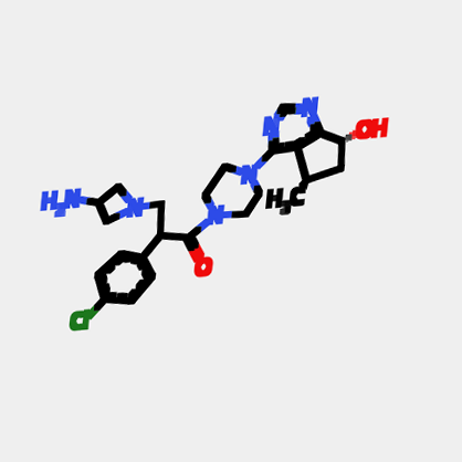 C[C@@H]1C[C@@H](O)c2ncnc(N3CCN(C(=O)C(CN4CC(N)C4)c4ccc(Cl)cc4)CC3)c21